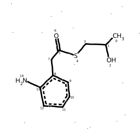 CC(O)CSC(=O)Cc1ccccc1N